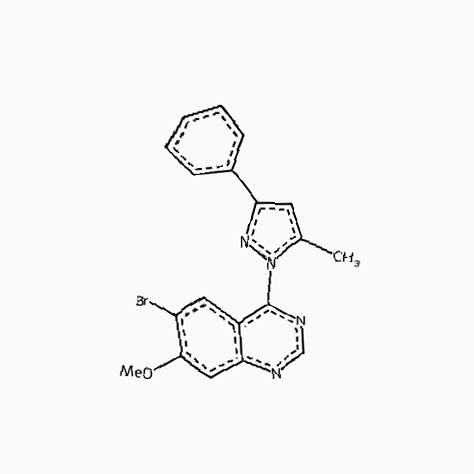 COc1cc2ncnc(-n3nc(-c4ccccc4)cc3C)c2cc1Br